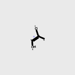 C/C(Cl)=C\O